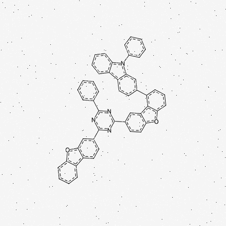 c1ccc(-c2nc(-c3ccc4c(c3)oc3ccccc34)nc(-c3ccc4oc5cccc(-c6ccc7c8ccccc8n(-c8ccccc8)c7c6)c5c4c3)n2)cc1